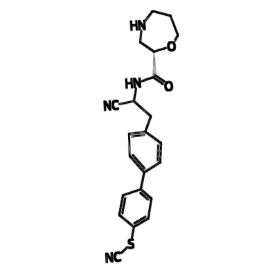 N#CSc1ccc(-c2ccc(CC(C#N)NC(=O)[C@@H]3CNCCCO3)cc2)cc1